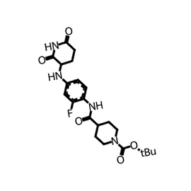 CC(C)(C)OC(=O)N1CCC(C(=O)Nc2ccc(NC3CCC(=O)NC3=O)cc2F)CC1